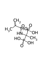 C=C(C)C(=O)NC(C)(P(=O)(O)O)P(=O)(O)O